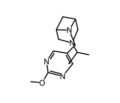 COc1ncc(CN2C3CC2CN(C(C)C)C3)cn1